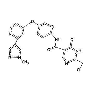 Cn1cc(-c2cc(Oc3ccc(NC(=O)c4cnc(CCl)[nH]c4=O)nc3)ccn2)cn1